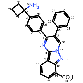 NC1(c2ccc(-c3nc4c5cccc(C(=O)O)c5nn4cc3-c3ccccc3)cc2)CCC1